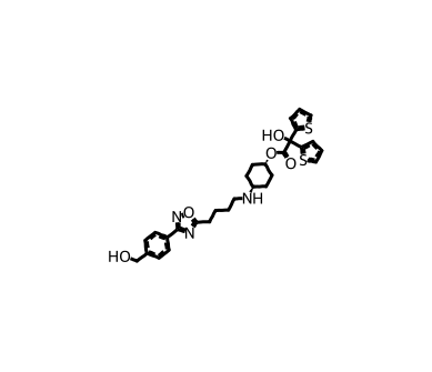 O=C(O[C@H]1CC[C@H](NCCCCc2nc(-c3ccc(CO)cc3)no2)CC1)C(O)(c1cccs1)c1cccs1